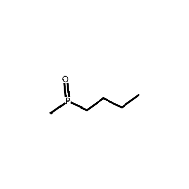 CCCC[P](C)=O